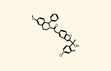 COc1ccc2c(c1)CCN(C(=O)Cc1ccc3oc(C(C)(O)c4cc[n+]([O-])cc4F)cc3c1)C2c1ccccc1